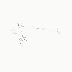 CC[C@H](C)[C@@H]([C@@H](CC(=O)N1CCC[C@H]1[C@H](OC)[C@@H](C)C(=O)NCC1(c2ccccc2)CC1)OC)N(C)C(=O)CNC(=O)C(C)(C)NC(=O)CCOCCOCCOCCOCCOCCOCCN1C(=O)C=CC1=O